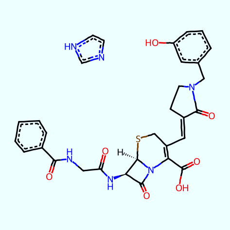 O=C(CNC(=O)c1ccccc1)N[C@@H]1C(=O)N2C(C(=O)O)=C(C=C3CCN(Cc4cccc(O)c4)C3=O)CS[C@H]12.c1c[nH]cn1